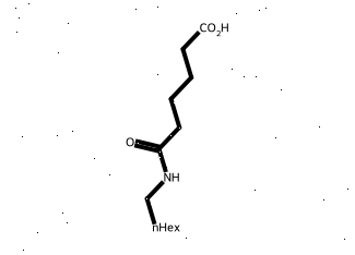 CCCCCCCNC(=O)CCCCC(=O)O